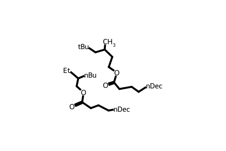 CCCCCCCCCCCCCC(=O)OCC(CC)CCCC.CCCCCCCCCCCCCC(=O)OCCC(C)CC(C)(C)C